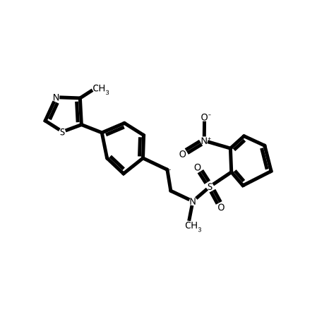 Cc1ncsc1-c1ccc([CH]CN(C)S(=O)(=O)c2ccccc2[N+](=O)[O-])cc1